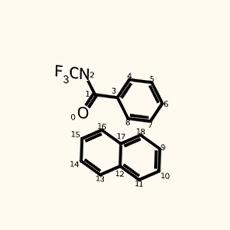 O=C(NC(F)(F)F)c1ccccc1.c1ccc2ccccc2c1